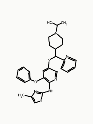 Cc1csc(Nc2ncc(SC(c3ccccn3)C3CCN(C(C)O)CC3)cc2Oc2ccccc2)n1